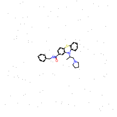 CC(CN1CCCC1)N1c2ccccc2Sc2ccc(C(=O)NCc3ccccc3)cc21